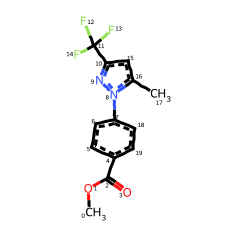 COC(=O)c1ccc(-n2nc(C(F)(F)F)cc2C)cc1